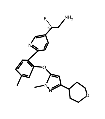 Cc1ccc(-c2ccc([C@H](F)CN)cn2)c(Oc2cc(C3CCOCC3)nn2C)c1